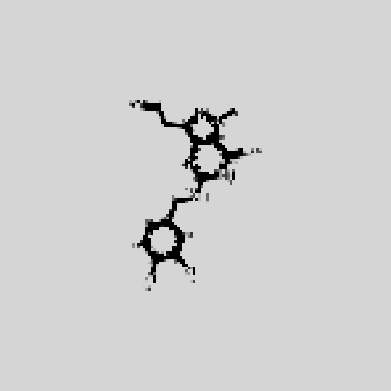 Cn1nc(CC=O)c2nc(NCc3ccc(Cl)c(Cl)c3)[nH]c(=O)c21